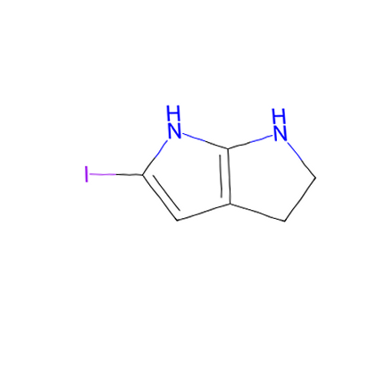 Ic1cc2c([nH]1)NCC2